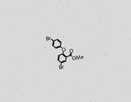 COC(=O)c1cc(Br)ccc1Oc1ccc(Br)cc1